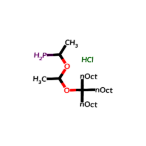 CCCCCCCCC(CCCCCCCC)(CCCCCCCC)OC(C)OC(C)P.Cl